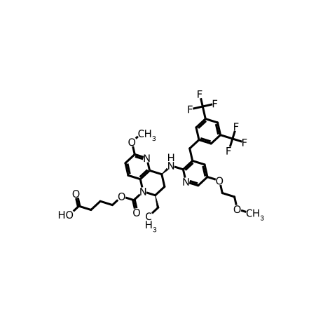 CC[C@@H]1C[C@H](Nc2ncc(OCCOC)cc2Cc2cc(C(F)(F)F)cc(C(F)(F)F)c2)c2nc(OC)ccc2N1C(=O)OCCCC(=O)O